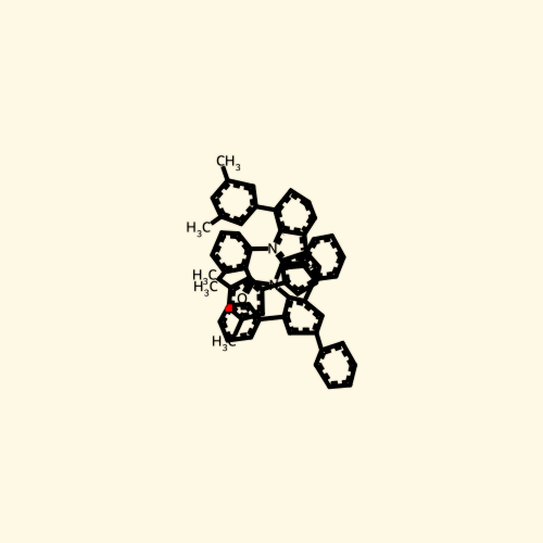 Cc1cc(C)cc(-c2cccc3c4cccc(-c5cc(C)cc(C)c5)c4n(-c4cccc(C)c4C(=O)N(C=O)c4c(-c5ccccc5)cc(-c5ccccc5)cc4-c4ccccc4)c23)c1